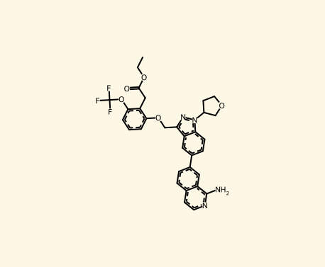 CCOC(=O)Cc1c(OCc2nn(C3CCOC3)c3ccc(-c4ccc5ccnc(N)c5c4)cc23)cccc1OC(F)(F)F